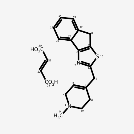 CN1CC=C(Cc2nc3c(s2)Cc2ccccc2-3)CC1.O=C(O)C=CC(=O)O